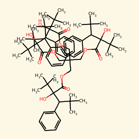 CC(C)(C)C(c1ccccc1)C(O)(C(=O)OCC(COC(=O)C(O)(C(c1ccccc1)C(C)(C)C)C(C)(C)C)(COC(=O)C(O)(C(c1ccccc1)C(C)(C)C)C(C)(C)C)COC(=O)C(O)(C(c1ccccc1)C(C)(C)C)C(C)(C)C)C(C)(C)C